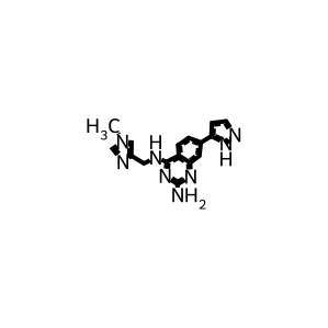 Cn1cnc(CNc2nc(N)nc3cc(-c4ccn[nH]4)ccc23)c1